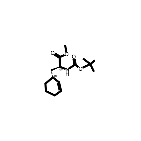 COC(=O)[C@H](C[C@@H]1C=CCCC1)NC(=O)OC(C)(C)C